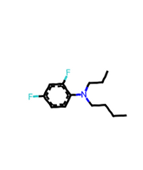 CCCCN(CCC)c1ccc(F)cc1F